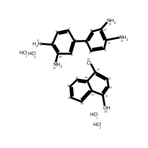 Cl.Cl.Cl.Cl.Nc1ccc(-c2ccc(N)c(N)c2)cc1N.Oc1ccc(Cl)c2ccccc12